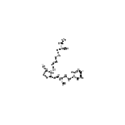 CCNC(=O)CCCC=CC[C@H]1C(=O)CC=C1C=C[C@@H](O)CCc1ccccc1